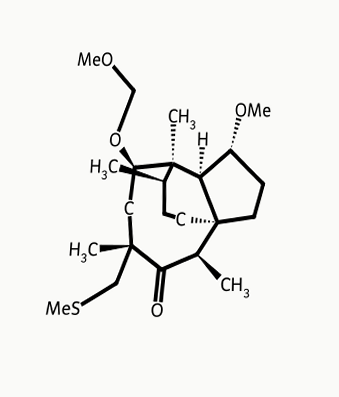 COCO[C@@H]1C[C@@](C)(CSC)C(=O)[C@H](C)[C@@]23CC[C@@H](C)[C@]1(C)[C@H]2[C@H](OC)CC3